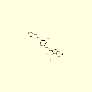 COc1cc(/C=C/C(=O)c2ccc3c(c2O)C=CC(C)(C)O3)ccc1OCCN1CCOCC1